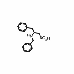 O=S(=O)(O)CC(Cc1ccccc1)NCc1ccccc1